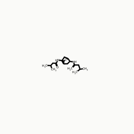 C=C(CC(C)C)NC1CC2CCC1CC2NC(=O)CC(C)C